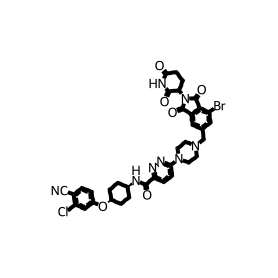 N#Cc1ccc(O[C@H]2CC[C@H](NC(=O)c3ccc(N4CCN(Cc5cc(Br)c6c(c5)C(=O)N(C5CCC(=O)NC5=O)C6=O)CC4)nn3)CC2)cc1Cl